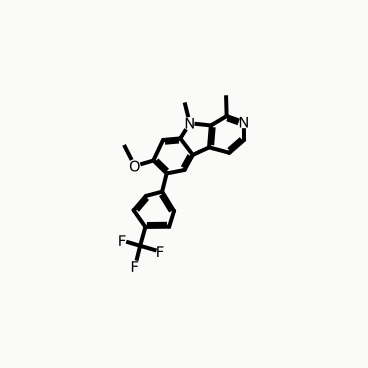 COc1cc2c(cc1-c1ccc(C(F)(F)F)cc1)c1ccnc(C)c1n2C